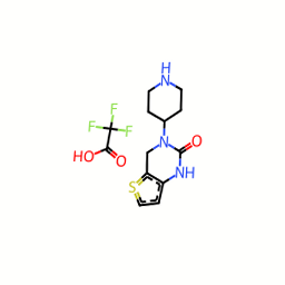 O=C(O)C(F)(F)F.O=C1Nc2ccsc2CN1C1CCNCC1